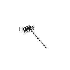 CCCCCCCCC=CCCCCCCC(OCC)C(=O)OP(=O)(O)O